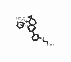 COCCOc1cccc(-c2ccc3c(c2)CCC2(CC2)C3N(C(=O)O)[C@@H]2CN3CCC2CC3)c1